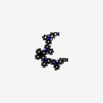 N#Cc1ccc(-n2c3ccccc3c3cc(-c4ccc5c(c4)c4ccccc4n5-c4ccc([Si](c5ccccc5)(c5ccccc5)c5ccc(-n6c7ccccc7c7cc(-c8ccc9c(c8)c8ccccc8n9-c8ccc(C#N)cc8)ccc76)cc5)cc4)ccc32)cc1